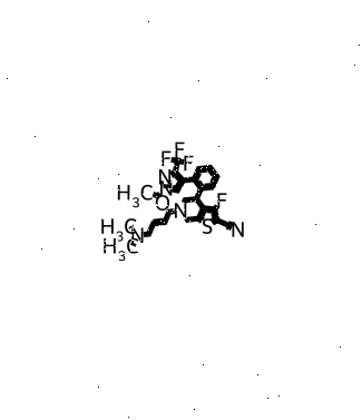 CCn1cc(-c2ccccc2C2CN(C(=O)/C=C/CN(C)C)Cc3sc(C#N)c(F)c32)c(C(F)(F)F)n1